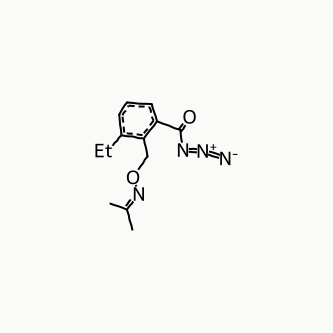 CCc1cccc(C(=O)N=[N+]=[N-])c1CON=C(C)C